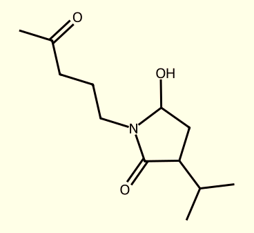 CC(=O)CCCN1C(=O)C(C(C)C)CC1O